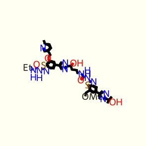 CCNC(=O)Nc1nc2cc(-c3cnc(C(O)CCCNC(=O)Nc4nc5cc(-c6cnc(C(C)(C)O)nc6)cc(COC)c5s4)nc3)cc(OCc3ccc(C)nc3)c2s1